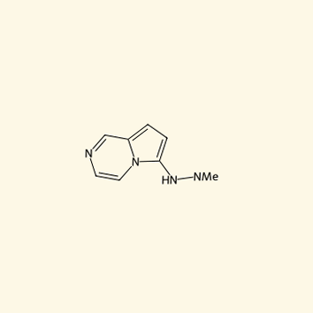 CNNc1ccc2cnccn12